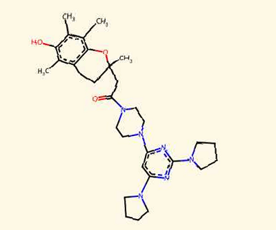 Cc1c(C)c2c(c(C)c1O)CCC(C)(CC(=O)N1CCN(c3cc(N4CCCC4)nc(N4CCCC4)n3)CC1)O2